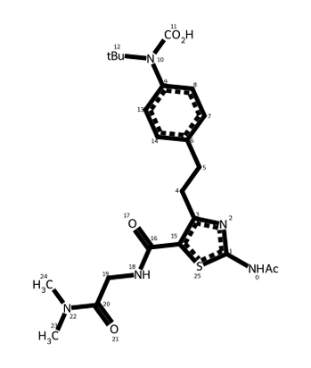 CC(=O)Nc1nc(CCc2ccc(N(C(=O)O)C(C)(C)C)cc2)c(C(=O)NCC(=O)N(C)C)s1